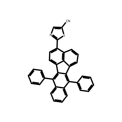 N#Cc1cnc(-c2ccc3c4c(cccc24)-c2c-3c(-c3ccccc3)c3ccccc3c2-c2ccccc2)s1